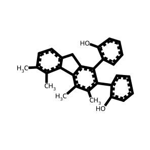 Cc1ccc2c(c1C)-c1c(C)c(C)c(-c3ccccc3O)c(-c3ccccc3O)c1C2